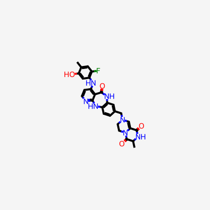 Cc1cc(F)c(Nc2ccnc3c2C(=O)Nc2cc(CN4C=C5C(=O)NC(C)C(=O)N5CC4)ccc2N3)cc1O